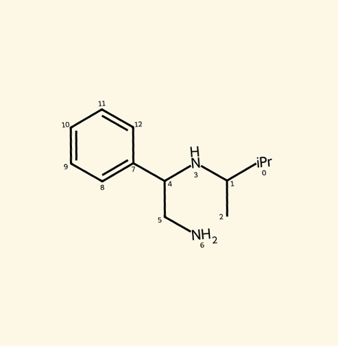 CC(C)C(C)NC(CN)c1ccccc1